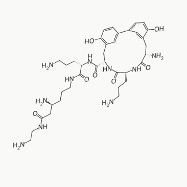 NCCC[C@H](NC(=O)[C@@H]1Cc2cc(ccc2O)-c2ccc(O)c(c2)C[C@H](N)C(=O)N[C@@H](CCCN)C(=O)N1)C(=O)NCCC[C@H](N)CC(=O)NCCN